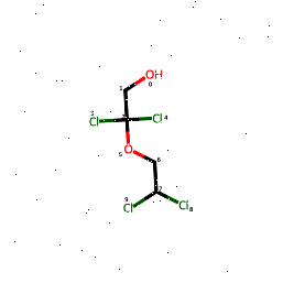 OCC(Cl)(Cl)OCC(Cl)Cl